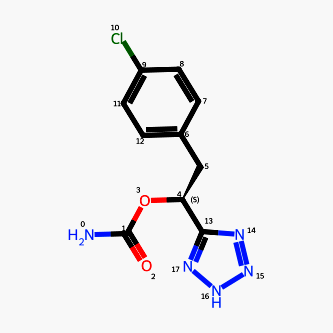 NC(=O)O[C@@H](Cc1ccc(Cl)cc1)c1nn[nH]n1